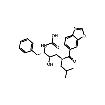 CC(C)CN(C[C@@H](O)[C@H](Cc1ccccc1)NC(=O)O)C(=O)c1ccc2ncoc2c1